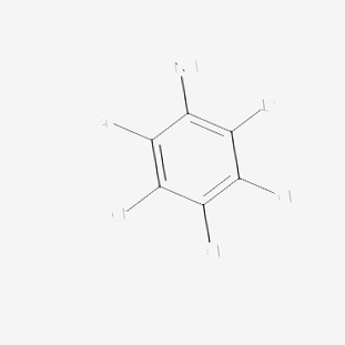 Nc1c(Br)c(Cl)c(Cl)c(Cl)c1Br